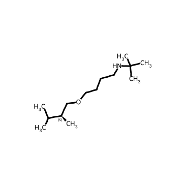 CC(C)[C@H](C)COCCCCNC(C)(C)C